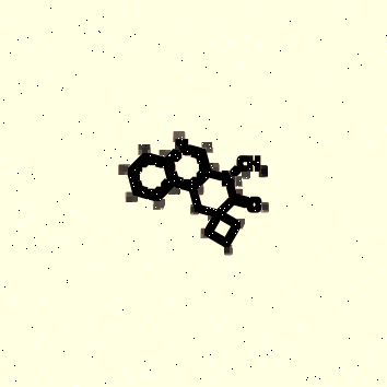 CN1C(=O)C2(CCC2)Cc2c1cnc1ccccc21